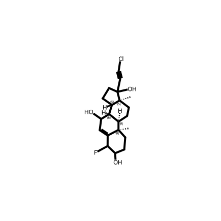 C[C@]12CCC(O)C(F)C1=CC(O)[C@@H]1[C@H]2CC[C@@]2(C)[C@H]1CCC2(O)C#CCl